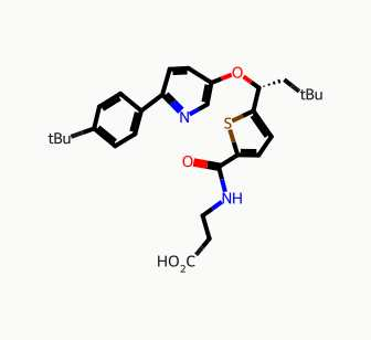 CC(C)(C)C[C@@H](Oc1ccc(-c2ccc(C(C)(C)C)cc2)nc1)c1ccc(C(=O)NCCC(=O)O)s1